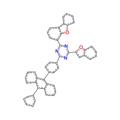 c1ccc(-c2c3ccccc3c(-c3ccc(-c4nc(-c5cc6ccccc6o5)nc(-c5cccc6c5oc5ccccc56)n4)cc3)c3ccccc23)cc1